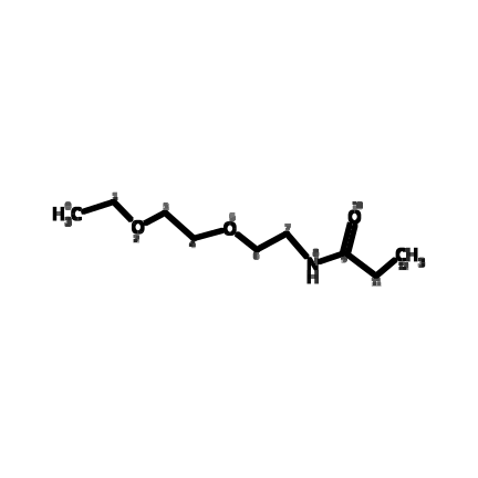 CCOCCOCCNC(=O)CC